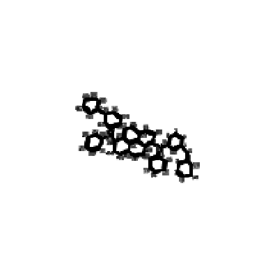 c1ccc(Cc2cccc(N(c3ccccc3)c3ccc4ccc5c(N(c6ccccc6)c6cccc(-c7ccccc7)c6)ccc6ccc3c4c65)c2)cc1